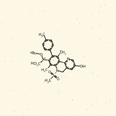 Cc1ccc(-c2c(C)c3c(c(C)c2[C@H](OC(C)(C)C)C(=O)O)N(S(C)(=O)=O)Cc2cc(O)cnc2-3)cc1